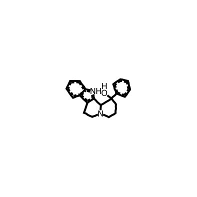 OC1(c2ccccc2)CCCN2CCc3c([nH]c4ccccc34)C21